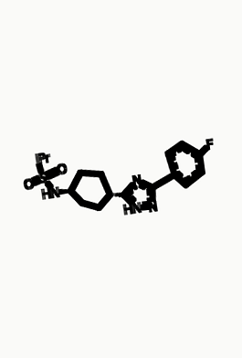 CC(C)S(=O)(=O)N[C@H]1CC[C@H](c2nc(-c3ccc(F)cc3)n[nH]2)CC1